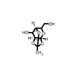 CC12O[C@@H]3C(CO)O[C@H](O1)[C@@H](O2)C3O